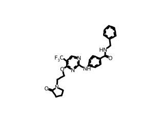 O=C(NCc1ccccc1)c1ccc(Nc2ncc(C(F)(F)F)c(OCCN3CCCC3=O)n2)cc1